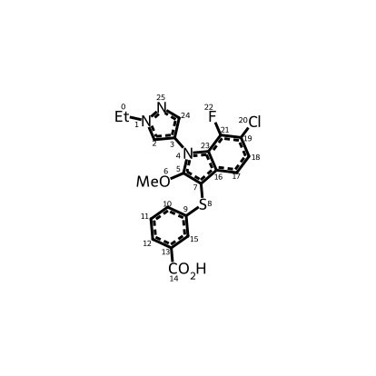 CCn1cc(-n2c(OC)c(Sc3cccc(C(=O)O)c3)c3ccc(Cl)c(F)c32)cn1